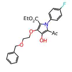 CCOC(=O)c1c(OCCOCc2ccccc2)c(O)c(C(C)=O)n1-c1ccc(F)cc1